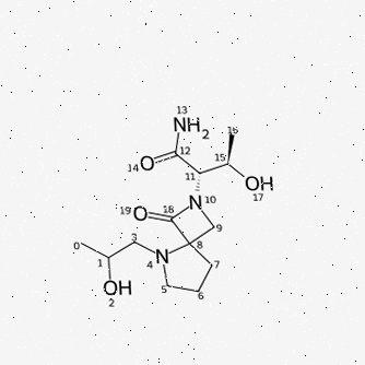 CC(O)CN1CCCC12CN([C@H](C(N)=O)[C@@H](C)O)C2=O